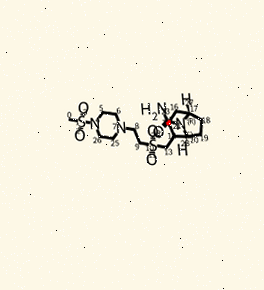 CS(=O)(=O)N1CCN(CCS(=O)(=O)CC2[CH]C[C@@H]3CC[C@@H]2N3C(N)=O)CC1